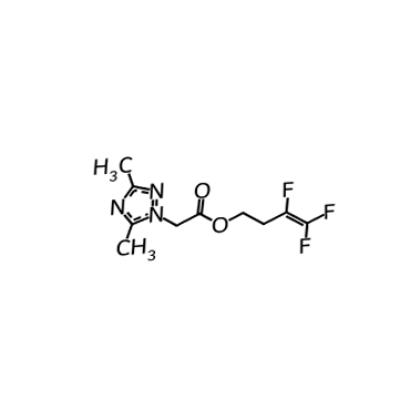 Cc1nc(C)n(CC(=O)OCCC(F)=C(F)F)n1